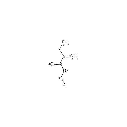 CCOC(=O)[C@@H](N)CP